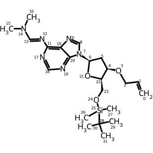 C=CCO[C@@H]1C[C@H](n2cnc3c(/N=C/N(C)C)ncnc32)O[C@@H]1CO[Si](C)(C)C(C)(C)C